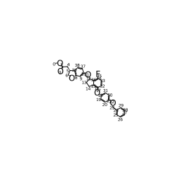 COC(=O)C[C@@H]1COc2cc(O[C@@H]3CCc4c(Oc5ccc(OCc6ccccc6)cc5)ccc(F)c43)ccc21